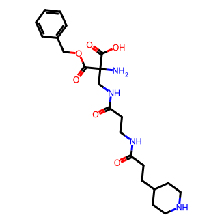 NC(CNC(=O)CCNC(=O)CCC1CCNCC1)(C(=O)O)C(=O)OCc1ccccc1